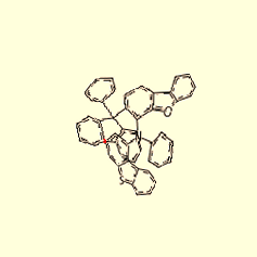 c1ccc(N(c2c(C3(c4ccccc4)c4ccccc4-c4ccccc43)ccc3c2oc2ccccc23)c2cccc3sc4ccccc4c23)cc1